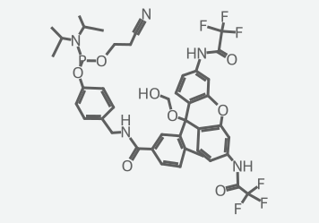 Cc1ccc(C(=O)NCc2ccc(OP(OCCC#N)N(C(C)C)C(C)C)cc2)cc1C1(OCO)c2ccc(NC(=O)C(F)(F)F)cc2Oc2cc(NC(=O)C(F)(F)F)ccc21